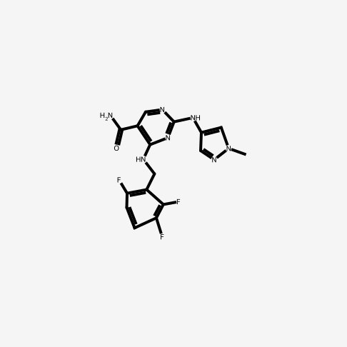 Cn1cc(Nc2ncc(C(N)=O)c(NCc3c(F)ccc(F)c3F)n2)cn1